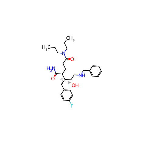 CCCN(CCC)C(=O)CCC(C(N)=O)[C@H](Cc1ccc(F)cc1)[C@@H](O)CNCc1ccccc1